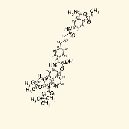 CCS(=O)(=O)c1ccc(NC(=O)CCCc2ccc(C(Nc3ccc4c(N(C(=O)OC(C)(C)C)C(=O)OC(C)(C)C)nccc4c3)C(=O)O)cc2)cc1CN